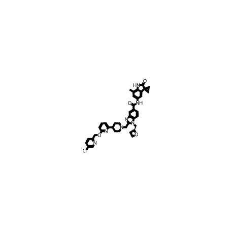 Cc1cc(NC(=O)c2ccc3c(c2)nc(CN2CCC(c4cccc(OCc5ccc(Cl)cn5)n4)CC2)n3C[C@@H]2CCO2)cc2c1NC(=O)C21CC1